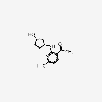 CC(=O)c1ccc(C)nc1N[C@H]1CC[C@H](O)C1